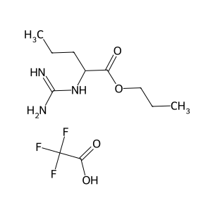 CCCOC(=O)C(CCC)NC(=N)N.O=C(O)C(F)(F)F